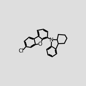 Clc1ccc2c(c1)oc1c(N3c4ccccc4C4CCCCC43)cccc12